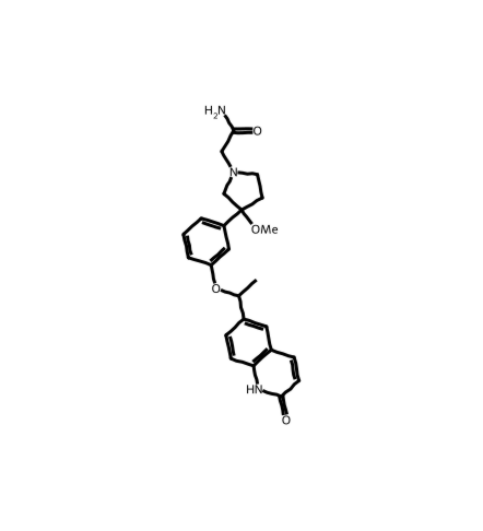 COC1(c2cccc(OC(C)c3ccc4[nH]c(=O)ccc4c3)c2)CCN(CC(N)=O)C1